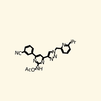 CC(=O)ONc1nc(-c2cccc(C#N)c2)cc(-c2cn(Cc3cccc(C(C)C)n3)nn2)n1